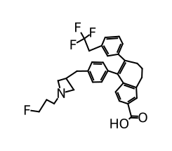 O=C(O)c1ccc2c(c1)CCCC(c1cccc(CC(F)(F)F)c1)=C2c1ccc(CC2CN(CCCF)C2)cc1